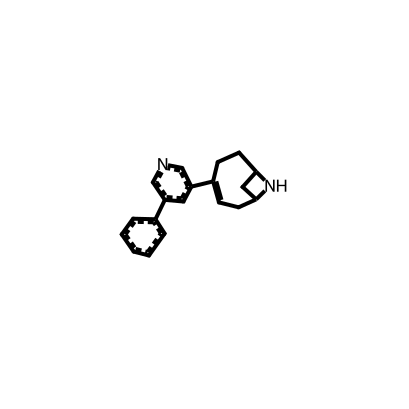 C1=C(c2cncc(-c3ccccc3)c2)CCC2CC(C1)N2